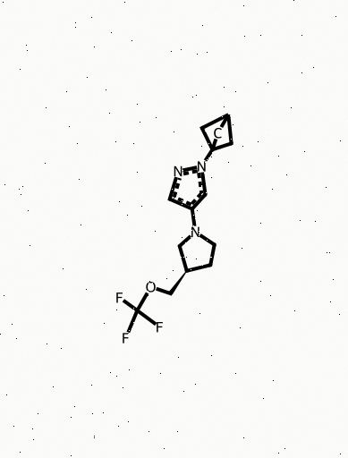 FC(F)(F)OC[C@@H]1CCN(c2cnn(C34CC(C3)C4)c2)C1